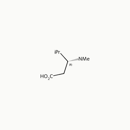 CN[C@H](CC(=O)O)C(C)C